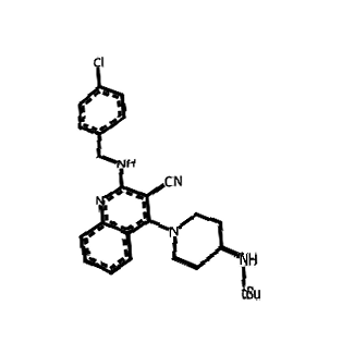 CC(C)(C)NC1CCN(c2c(C#N)c(NCc3ccc(Cl)cc3)nc3ccccc23)CC1